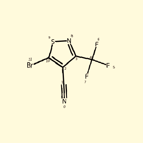 N#Cc1c(C(F)(F)F)nsc1Br